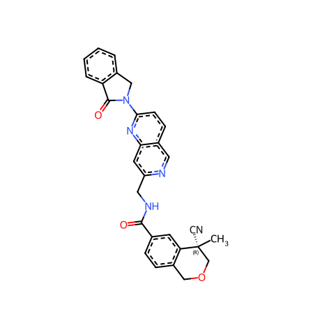 C[C@@]1(C#N)COCc2ccc(C(=O)NCc3cc4nc(N5Cc6ccccc6C5=O)ccc4cn3)cc21